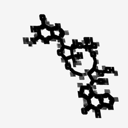 CO[C@@H]1COP(=O)(S)O[C@@H]2[C@H](F)C(OCC[C@H]1[C@@H](O)n1cnc3c(=O)[nH]c4nccn4c31)O[C@H]2n1cnc2c(=O)[nH]c(N)nc21